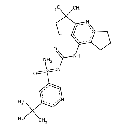 CC(C)(O)c1cncc(S(N)(=O)=NC(=O)Nc2c3c(nc4c2CCC4(C)C)CCC3)c1